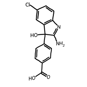 NC1=Nc2ccc(Cl)cc2C1(O)c1ccc(C(=O)O)cc1